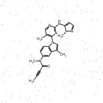 CC#CC(=O)N(C)c1ccc2c(c1)c(C)cn2-c1nc(Nc2ccnn2C)ncc1C